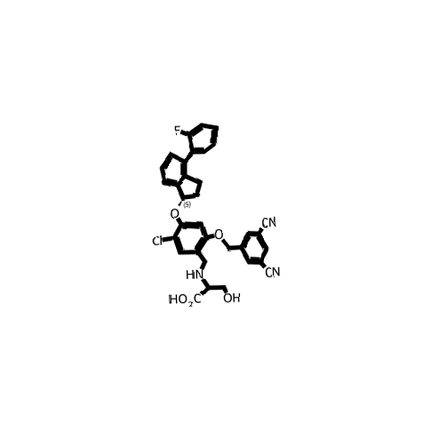 N#Cc1cc(C#N)cc(COc2cc(O[C@H]3CCc4c(-c5ccccc5F)cccc43)c(Cl)cc2CNC(CO)C(=O)O)c1